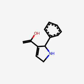 C=C(O)C1=CCNC1c1ccccc1